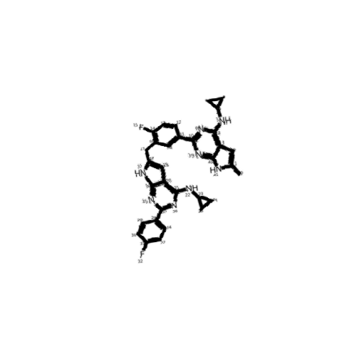 Cc1cc2c(NC3CC3)nc(-c3ccc(F)c(Cc4cc5c(NC6CC6)nc(-c6ccc(F)cc6)nc5[nH]4)c3)nc2[nH]1